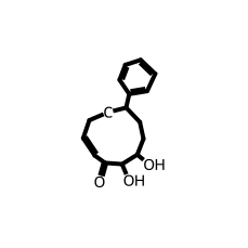 O=C1/C=C\CCC(c2ccccc2)CCC(O)C1O